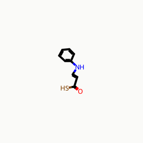 O=C(S)/C=C/Nc1ccccc1